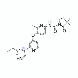 CCN/C=C(\C=N)c1cc(Oc2ccc(NC(=O)N3CCC(C)(C)C3=O)nc2C)ccn1